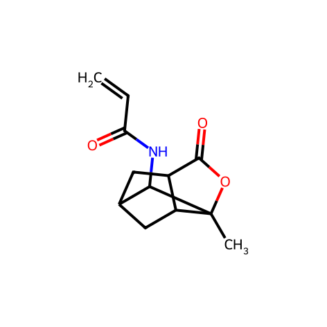 C=CC(=O)NC1C2CC3C(=O)OC1(C)C3C2